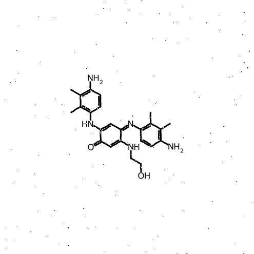 Cc1c(N)ccc(/N=C2/C=C(Nc3ccc(N)c(C)c3C)C(=O)C=C2NCCO)c1C